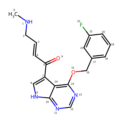 CNC/C=C/C(=O)c1c[nH]c2ncnc(OCc3cccc(F)c3)c12